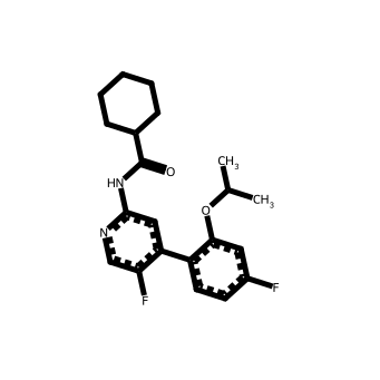 CC(C)Oc1cc(F)ccc1-c1cc(NC(=O)C2CCCCC2)ncc1F